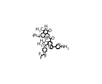 Cc1[nH]c(=O)c(CNC(=O)c2cc3c(-c4ccc(N)nc4)ccn3c(C(C)N3CCN(C(F)C(F)F)CC3)c2C)c2c1CN(CC(C)C)CC2